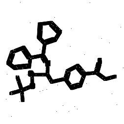 CCC(=S)c1ccc(CC(N=C(c2ccccc2)c2ccccc2)C(=O)OC(C)(C)C)cc1